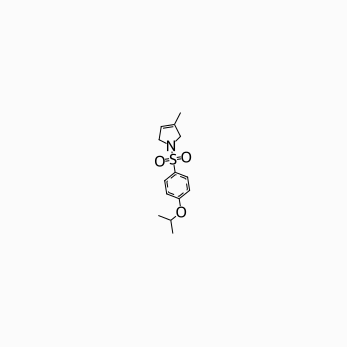 CC1=CCN(S(=O)(=O)c2ccc(OC(C)C)cc2)C1